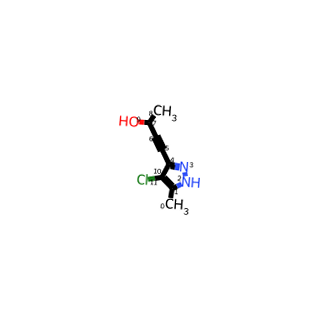 Cc1[nH]nc(C#CC(C)O)c1Cl